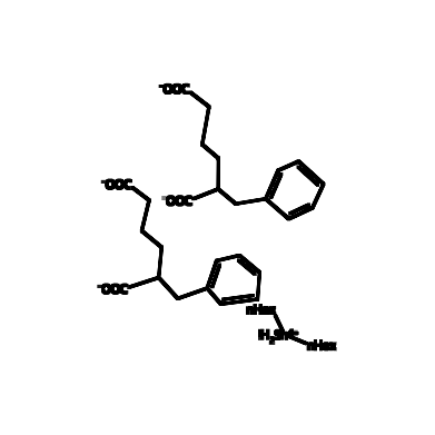 CCCCC[CH2][SnH2+4][CH2]CCCCC.O=C([O-])CCCC(Cc1ccccc1)C(=O)[O-].O=C([O-])CCCC(Cc1ccccc1)C(=O)[O-]